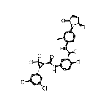 Cc1cc(N2C(=O)C=CC2=O)ccc1NC(=O)c1cc(NC(=O)[C@H]2[C@H](c3cc(Cl)cc(Cl)c3)C2(Cl)Cl)ccc1Cl